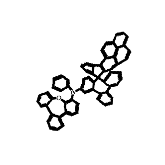 c1ccc(N(c2ccc3c(c2)-c2ccccc2-c2ccccc2C32c3ccccc3-c3c2cc2ccc4cccc5ccc3c2c45)c2cccc3c2Oc2ccccc2-c2ccccc2-3)cc1